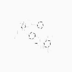 CCCCc1nnc(SC(OC)c2ccccc2)n1Cc1ccc(OC(C(=O)O)c2cc(Br)c(OC)c(OC)c2Br)cc1